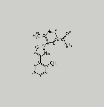 Cc1ccncc1-c1csc(-c2cc(C(N)=O)ccc2C)n1